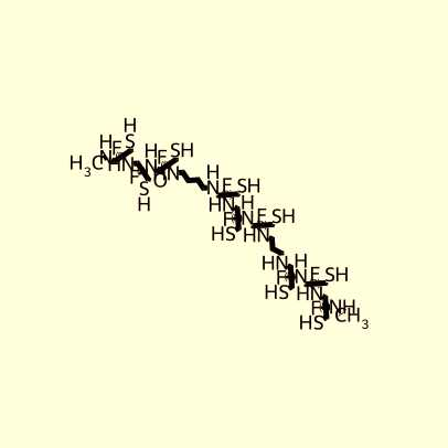 CNC[C@@](F)(CS)NC[C@@](F)(CS)NC(=O)[C@@](F)(CS)NCCCCNC[C@@](F)(CS)NC[C@@](F)(CS)NC[C@@](F)(CS)NCCCNC[C@@](F)(CS)NC[C@@](F)(CS)NC[C@@](F)(CS)NC